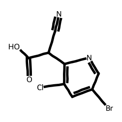 N#CC(C(=O)O)c1ncc(Br)cc1Cl